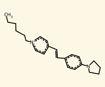 CCCCCC[n+]1ccc(/C=C/c2ccc(N3CCCC3)cc2)cc1